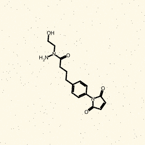 NN(CCO)C(=O)CCCc1ccc(N2C(=O)C=CC2=O)cc1